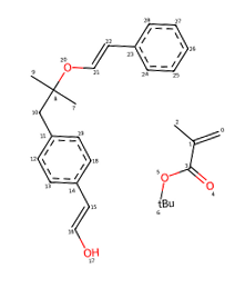 C=C(C)C(=O)OC(C)(C)C.CC(C)(Cc1ccc(C=CO)cc1)OC=Cc1ccccc1